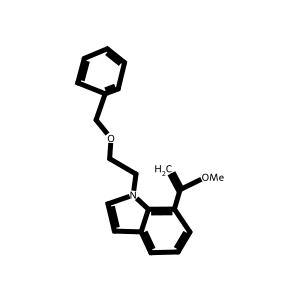 C=C(OC)c1cccc2ccn(CCOCc3ccccc3)c12